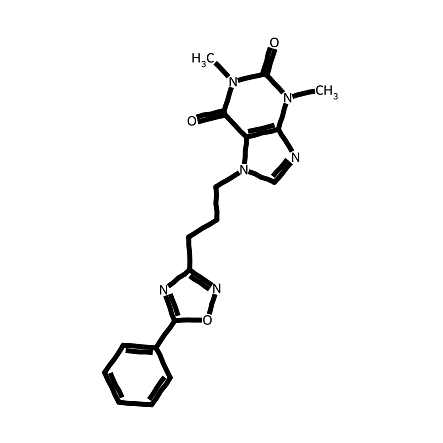 Cn1c(=O)c2c(ncn2CCCc2noc(-c3ccccc3)n2)n(C)c1=O